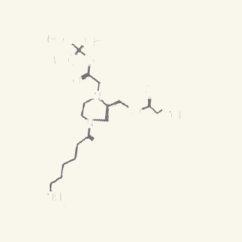 COCC(=O)OCC1CN(C(=O)CCCCCN)CCN1CC(=O)OC(C)(C)C